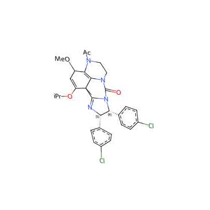 COC1C=C(OC(C)C)C2(C)C3=N[C@@H](c4ccc(Cl)cc4)[C@@H](c4ccc(Cl)cc4)N3C(=O)N3CCN(C(C)=O)C1=C32